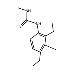 CCc1ccc(NC(=S)NC)c(CC)c1C